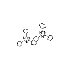 c1ccc(-c2nc(-c3ccccc3)nc(-c3ccc4c(-c5nc(-c6ccccc6)nc(-c6ccccc6)n5)cccc4c3)n2)cc1